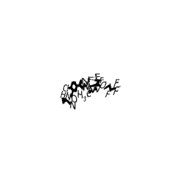 Cn1nc(OCCC(F)C(F)F)c(C(F)(F)F)c1-n1cc(-c2ccc(Cl)c(C(=O)NC3(C#N)CC3)c2)cn1